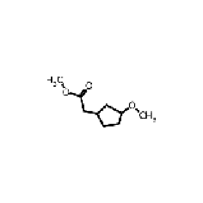 COC(=O)CC1CCC(OC)C1